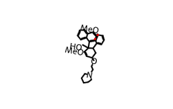 COC1=CC(OCCN2CCCCC2)CC(c2cccc(OC)c2)C1(CO)c1cccc2ccccc12